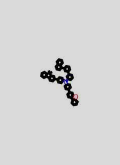 CC1(C)c2ccccc2-c2ccc(-c3ccc(N(c4ccc(-c5ccc6c(c5)oc5ccccc56)cc4)c4cccc(-c5cccc(-c6cccc7ccccc67)c5)c4)cc3)cc21